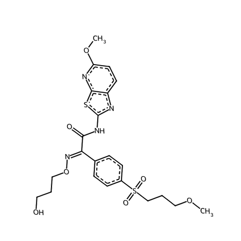 COCCCS(=O)(=O)c1ccc(/C(=N\OCCCO)C(=O)Nc2nc3ccc(OC)nc3s2)cc1